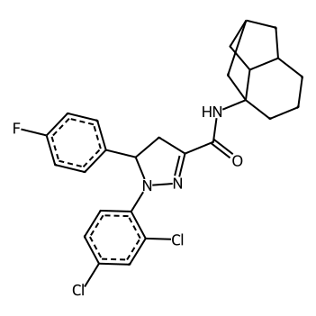 O=C(NC12CCCC3CC(CC31)C2)C1=NN(c2ccc(Cl)cc2Cl)C(c2ccc(F)cc2)C1